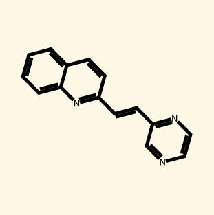 C(=C\c1ccc2ccccc2n1)/c1cnccn1